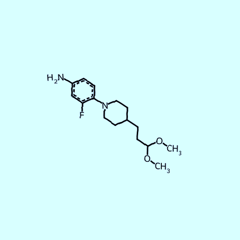 COC(CCC1CCN(c2ccc(N)cc2F)CC1)OC